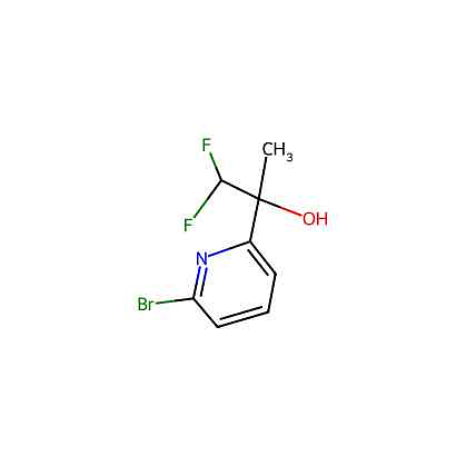 CC(O)(c1cccc(Br)n1)C(F)F